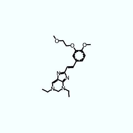 CCN1C=C2N=C(C=Cc3ccc(OC)c(OCCOC)c3)N=C2N(CC)C1